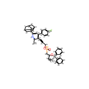 CC(C)c1nc(C23CC4CC(CC(C4)C2)C3)cc(-c2ccc(F)cc2)c1C#CCO[PH](=O)CC(CC(=O)O)O[Si](c1ccccc1)(c1ccccc1)C(C)(C)C